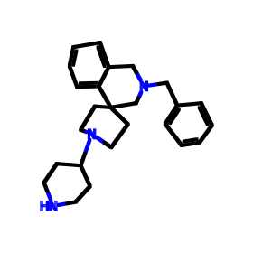 c1ccc(CN2Cc3ccccc3C3(CCN(C4CCNCC4)CC3)C2)cc1